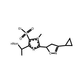 CCCCCCCCCC(C)c1nc(C2CC(C3CC3)=NO2)n(C)c1S(=O)(=O)CC